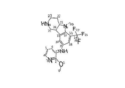 COc1ncccc1Nc1cc2c(c(C(F)(F)F)c1)N(C)C1CCNCC21